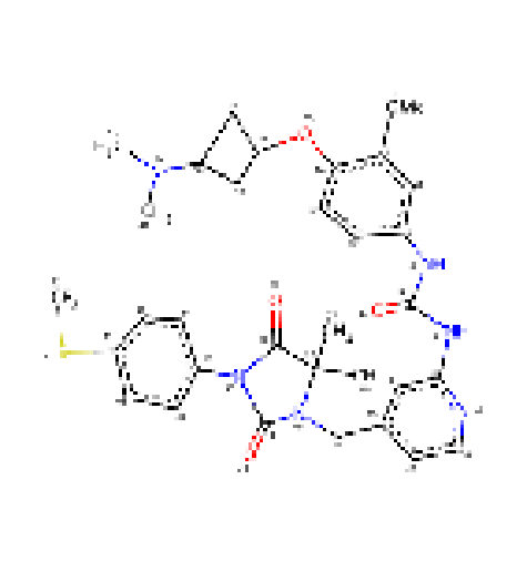 COc1cc(NC(=O)Nc2cc(CN3C(=O)N(c4ccc(SC(F)(F)F)cc4)C(=O)C3(C)C)ccn2)ccc1OC1CC(N(C)C)C1